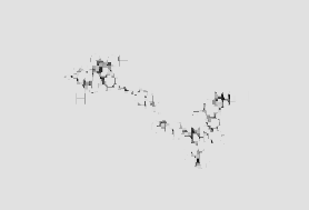 CC(=O)N1CCc2c(c(N3CCCc4cc(-c5cnn(C)c5)c(C(F)F)cc43)nn2C2CCN(C(=O)CCCN3CCC(C#Cc4ccc5c(c4)n(C)c(=O)n5C4CCC(=O)NC4=O)CC3)CC2)C1